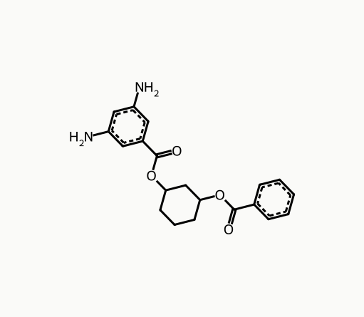 Nc1cc(N)cc(C(=O)OC2CCCC(OC(=O)c3ccccc3)C2)c1